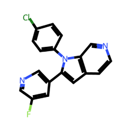 Fc1cncc(-c2cc3ccncc3n2-c2ccc(Cl)cc2)c1